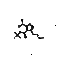 C=CCCc1nsc(C(F)F)c1C(=O)OC(C)(C)C